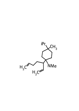 C=CCCC(C=C)C1(NC)CCC(C)(C(C)C)CC1